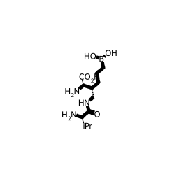 CC(C)[C@H](N)C(=O)NC[C@@H](CCCB(O)O)[C@H](N)C(=O)O